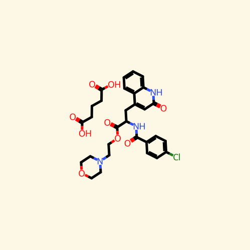 O=C(NC(Cc1cc(=O)[nH]c2ccccc12)C(=O)OCCN1CCOCC1)c1ccc(Cl)cc1.O=C(O)CCCC(=O)O